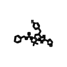 CC1(C)CN(C(=O)OCc2ccccc2)c2cc(Cc3ccc(F)cc3)c3nc(C4=CCOC4)nn3c21